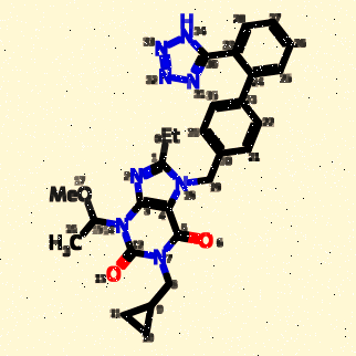 CCc1nc2c(c(=O)n(CC3CC3)c(=O)n2C(C)OC)n1Cc1ccc(-c2ccccc2-c2nnn[nH]2)cc1